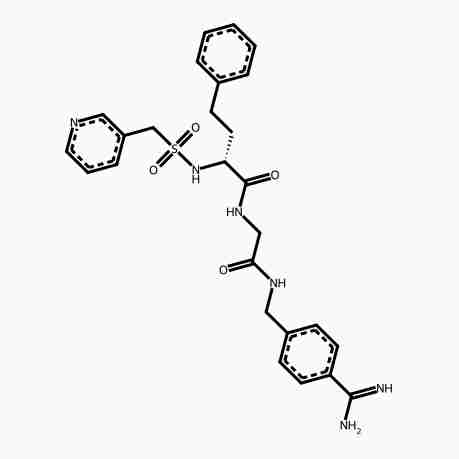 N=C(N)c1ccc(CNC(=O)CNC(=O)[C@@H](CCc2ccccc2)NS(=O)(=O)Cc2cccnc2)cc1